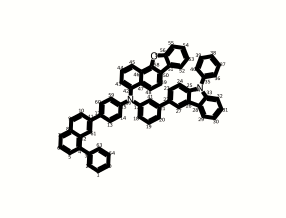 c1ccc(-c2cccc3ccc(-c4ccc(N(c5cccc(-c6ccc7c(c6)c6ccccc6n7-c6ccccc6)c5)c5cccc6c5ccc5c7ccccc7oc65)cc4)cc23)cc1